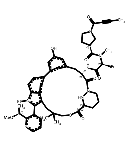 CC#CC(=O)N1CC[C@H](C(=O)N(C)[C@H](C(=O)N[C@H]2Cc3cc(O)cc(c3)-c3ccc4c(c3)c(c(-c3cccnc3[C@H](C)OC)n4CC)CC(C)(C)COC(=O)[C@@]3(O)CCCN(N3)C2=O)C(C)C)C1